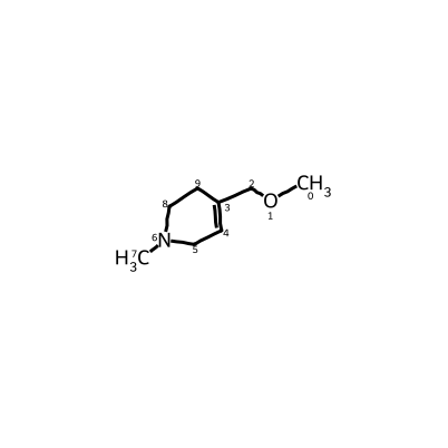 COCC1=CCN(C)CC1